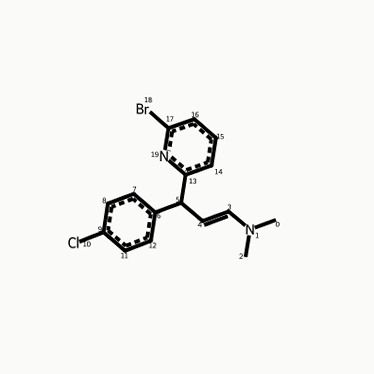 CN(C)C=CC(c1ccc(Cl)cc1)c1cccc(Br)n1